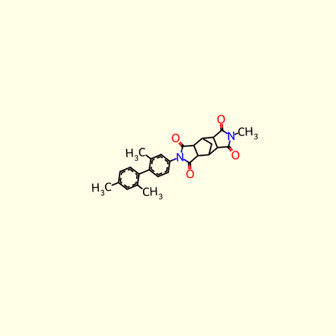 Cc1ccc(-c2ccc(N3C(=O)C4C5CC(C6C(=O)N(C)C(=O)C56)C4C3=O)cc2C)c(C)c1